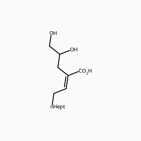 CCCCCCCCC=C(CC(O)CO)C(=O)O